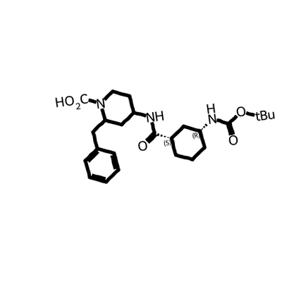 CC(C)(C)OC(=O)N[C@@H]1CCC[C@H](C(=O)NC2CCN(C(=O)O)C(Cc3ccccc3)C2)C1